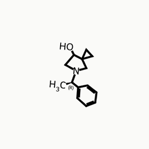 C[C@H](c1ccccc1)N1CC(O)C2(CC2)C1